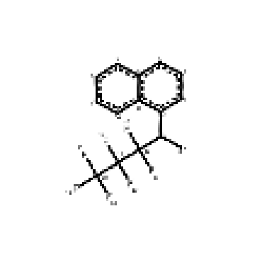 [CH2]C(c1cccc2ccccc12)C(F)(F)C(F)(F)C(F)(F)F